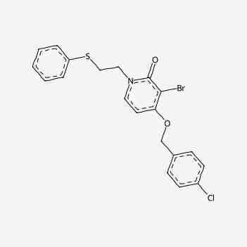 O=c1c(Br)c(OCc2ccc(Cl)cc2)ccn1CCSc1ccccc1